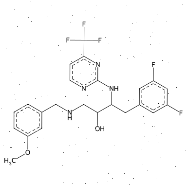 COc1cccc(CNCC(O)C(Cc2cc(F)cc(F)c2)Nc2nccc(C(F)(F)F)n2)c1